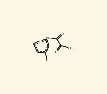 CC(=O)C(=O)O.Fc1ccccc1